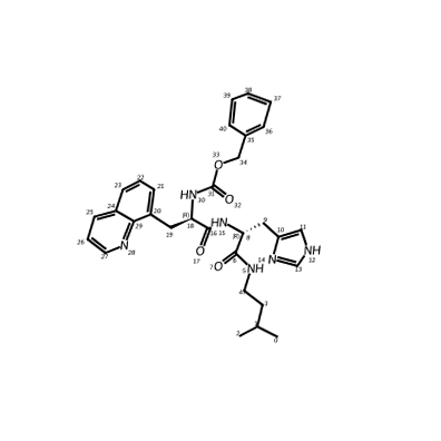 CC(C)C[CH]NC(=O)[C@@H](Cc1c[nH]cn1)NC(=O)[C@@H](Cc1cccc2cccnc12)NC(=O)OCc1ccccc1